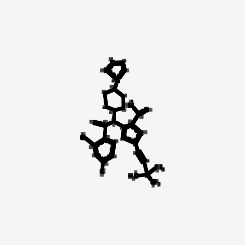 CC(C)(C)C#Cc1cc(N(C(=O)c2ccc(Cl)cc2Cl)C2CCC(n3ccnn3)CC2)c(C(=O)O)s1